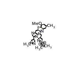 COc1cc(C)cc(/N=c2\ccc3ncc(-c4cnn(C)c4)nc3n2Cc2cnn(S(=O)(=O)N(C)C)c2)c1F